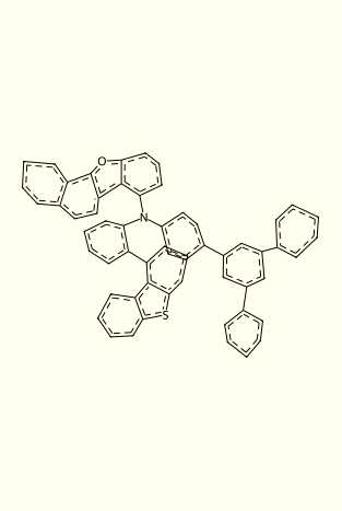 c1ccc(-c2cc(-c3ccccc3)cc(-c3ccc(N(c4ccccc4-c4cccc5sc6ccccc6c45)c4cccc5oc6c7ccccc7ccc6c45)cc3)c2)cc1